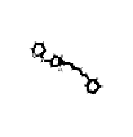 C(=CC1[C@H]2CC(OC3CCCCO3)C[C@@H]12)CCCc1ccccc1